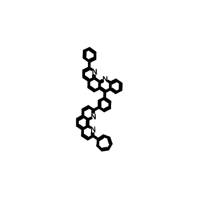 C1=CC=C(c2ccc3ccc4ccc(-c5cccc(-c6c7ccccc7nc7c6ccc6ccc(-c8ccccc8)nc67)c5)nc4c3n2)CC=C1